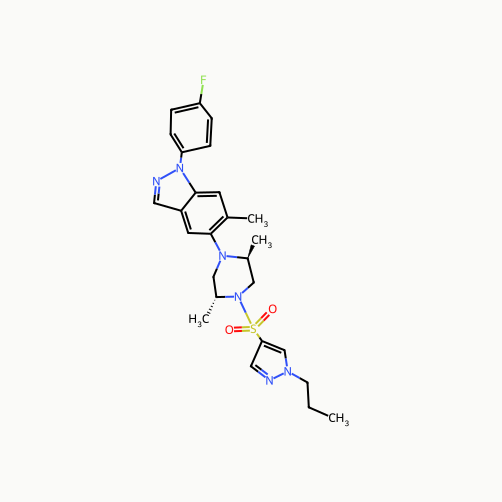 CCCn1cc(S(=O)(=O)N2C[C@H](C)N(c3cc4cnn(-c5ccc(F)cc5)c4cc3C)C[C@H]2C)cn1